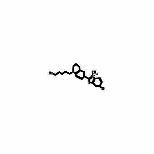 CC(=O)CCCCCN1CCCc2cc(-c3sc4cc(Br)ccc4[n+]3C)ccc21